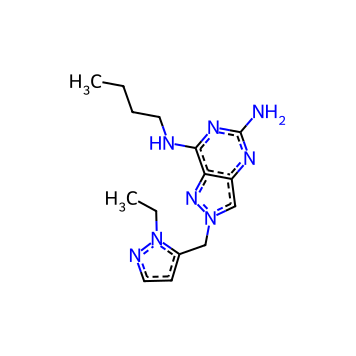 CCCCNc1nc(N)nc2cn(Cc3ccnn3CC)nc12